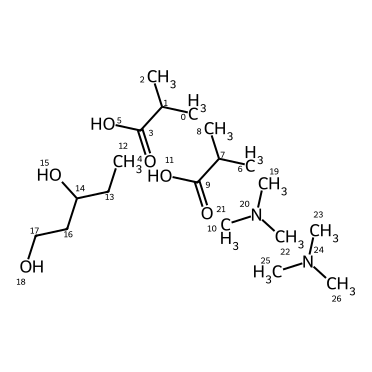 CC(C)C(=O)O.CC(C)C(=O)O.CCC(O)CCO.CN(C)C.CN(C)C